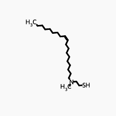 CCCCCCCC/C=C\CCCCCCCCCN(C)CCS